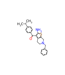 CC(C)c1ccc(C(=O)c2c(N)sc3c2CCN(Cc2ccccc2)C3)cc1